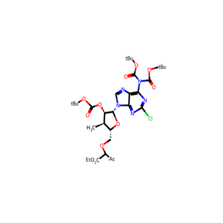 CCOC(=O)C(OC[C@H]1O[C@@H](n2cnc3c(N(C(=O)OC(C)(C)C)C(=O)OC(C)(C)C)nc(Cl)nc32)[C@H](OC(=O)OC(C)(C)C)[C@@H]1C)C(C)=O